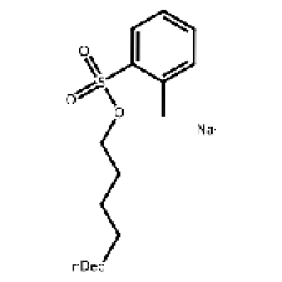 CCCCCCCCCCCCCCOS(=O)(=O)c1ccccc1C.[Na]